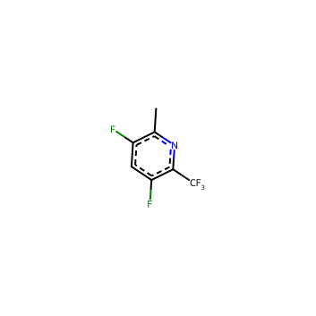 Cc1nc(C(F)(F)F)c(F)cc1F